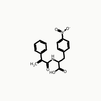 C=C(C(=O)NC(Cc1ccc([N+](=O)[O-])cc1)C(=O)O)c1ccccc1